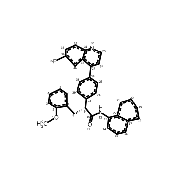 COc1ccccc1C[C@@H](C(=O)Nc1cccc2ccccc12)c1ccc(-c2ccnc3ccc(F)cc23)cc1